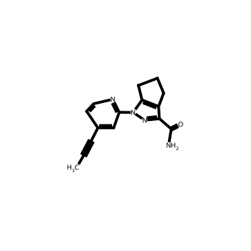 CC#Cc1ccnc(-n2nc(C(N)=O)c3c2CCC3)c1